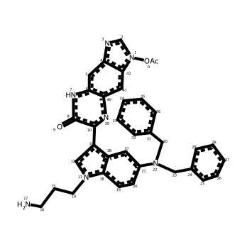 CC(=O)On1cnc2cc3[nH]c(=O)c(-c4cn(CCCN)c5ccc(N(Cc6ccccc6)Cc6ccccc6)cc45)nc3cc21